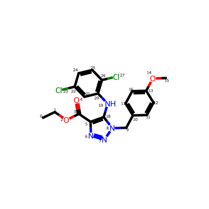 CCOC(=O)c1nnn(Cc2ccc(OC)cc2)c1Nc1cc(Cl)ccc1Cl